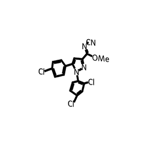 COC(=NC#N)c1cc(-c2ccc(Cl)cc2)n(-c2ccc(Cl)cc2Cl)n1